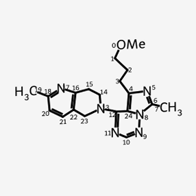 COCCCc1nc(C)n2ncnc(N3CCc4nc(C)ccc4C3)c12